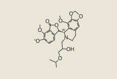 COc1ccc2c(c1OC)C(=O)OC2[C@H]1c2c(cc3c(c2OC)OCO3)CCN1CC(O)COC(C)C